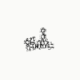 CC1(C)c2cc(-c3ccccc3)ccc2N(c2ccc(-c3ccccc3)cc2)c2ccc(-c3ccc4c(c3)C(c3ccccc3)(c3ccccc3)c3ccccc3-4)cc21